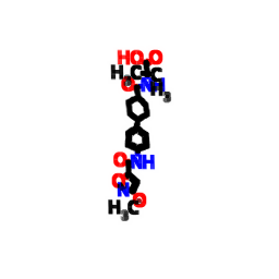 COc1cc(C(=O)Nc2ccc(C3CCC(C(=O)NC(C)(C)C(=O)O)CC3)cc2)on1